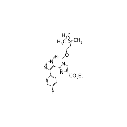 CCOC(=O)c1cn(COCC[Si](C)(C)C)c(-c2c(-c3ccc(F)cc3)ncn2C(C)C)n1